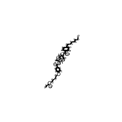 C=CC(=O)OCCCCOc1ccc(C(=O)O[C@H]2CO[C@H]3[C@@H]2OC[C@H]3OC(=O)c2ccc(CCCCCCC)cc2)cc1